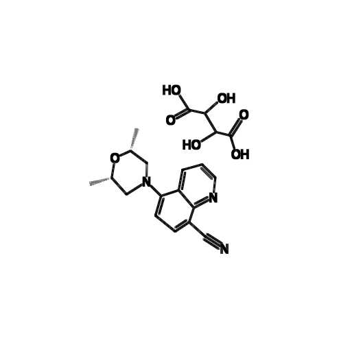 C[C@@H]1CN(c2ccc(C#N)c3ncccc23)C[C@H](C)O1.O=C(O)C(O)C(O)C(=O)O